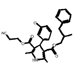 CC1=C(C(=O)OCCC#N)C(c2cccc(Cl)c2)C(C(=O)OCC(C)Cc2ccccc2)=C(C)N1